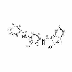 O=C1Nc2ccccc2C1=CNc1ccc(NCc2cccnc2)c(F)c1